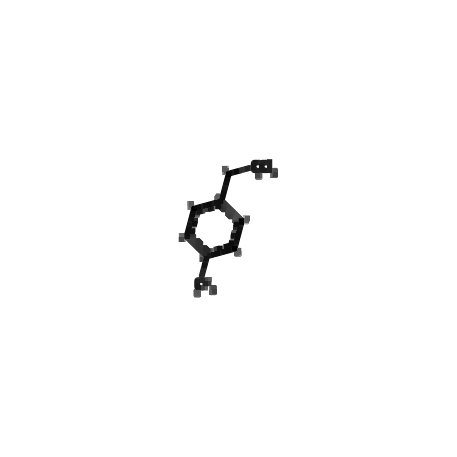 FC(F)(F)c1ccc(CC(Cl)(Cl)Cl)cc1